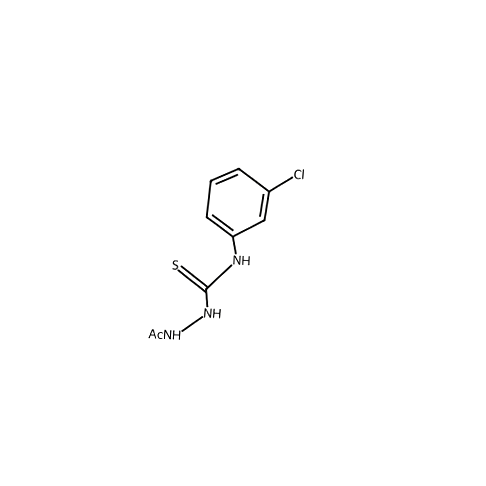 [CH2]C(=O)NNC(=S)Nc1cccc(Cl)c1